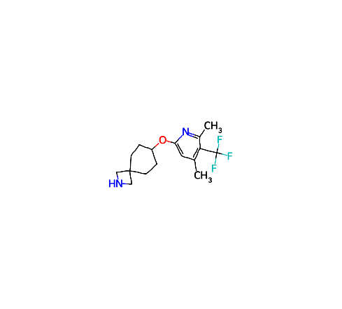 Cc1cc(OC2CCC3(CC2)CNC3)nc(C)c1C(F)(F)F